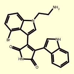 NCCn1cc(C2=C(c3c[nH]c4ccccc34)C(=O)NC2=O)c2c(Br)cccc21